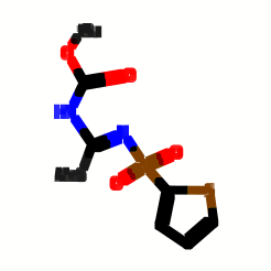 CS/C(=N\S(=O)(=O)c1cccs1)NC(=O)OC(C)(C)C